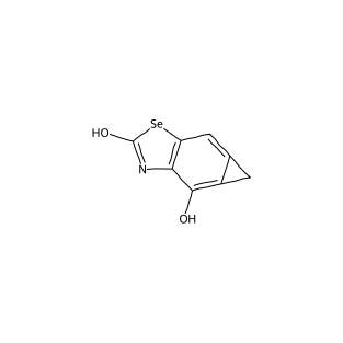 Oc1nc2c(O)c3c(cc2[se]1)C3